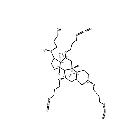 CC(CCCO)C1CC[C@H]2C3[C@H](OCCCN=[N+]=[N-])CC4C[C@H](OCCCN=[N+]=[N-])CC[C@]4(C)[C@H]3C[C@H](OCCCN=[N+]=[N-])[C@]12C